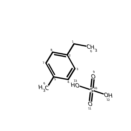 CCc1ccc(C)cc1.O=S(=O)(O)O